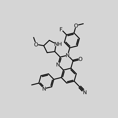 COc1ccc(-n2c(C3CC(OC)CN3)nc3c(-c4ccc(C)nc4)cc(C#N)cc3c2=O)cc1F